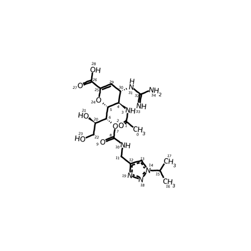 CC(=O)N[C@H]1[C@H]([C@H](OC(=O)NCc2cn(C(C)C)nn2)[C@H](O)CO)OC(C(=O)O)=C[C@@H]1NC(=N)N